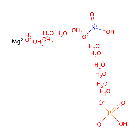 O.O.O.O.O.O.O.O.O.O.O.O.O=P([O-])([O-])O.O=[N+]([O-])O.[Mg+2]